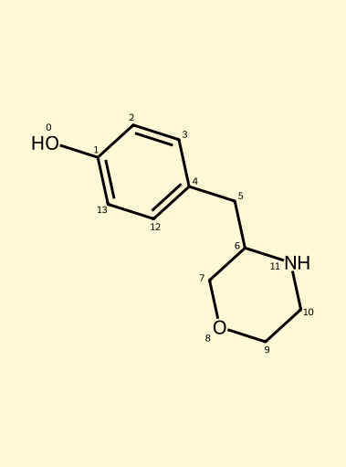 Oc1ccc(CC2COCCN2)cc1